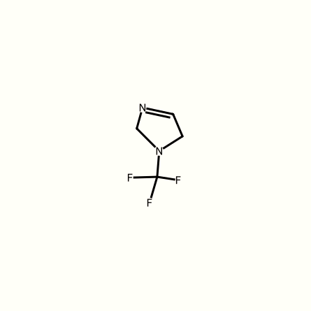 FC(F)(F)N1CC=NC1